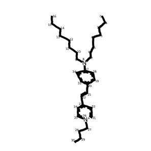 CCCCCCCCN(CCCCCCCC)c1ccc(/C=C/c2cc[n+](CCCC)cc2)cc1